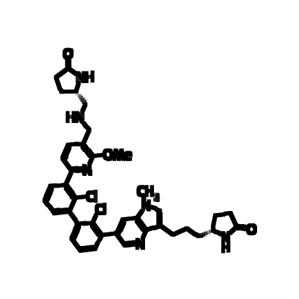 COc1nc(-c2cccc(-c3cccc(-c4cnc5c(CCC[C@@H]6CCC(=O)N6)cn(C)c5c4)c3Cl)c2Cl)ccc1CNC[C@@H]1CCC(=O)N1